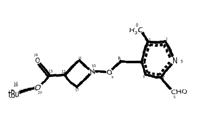 Cc1cnc(C=O)cc1CON1CC(C(=O)OC(C)(C)C)C1